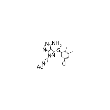 CC(=O)N1CC(n2nc(Sc3cc(Cl)cc(C)c3C)c3c(N)ncnc32)C1